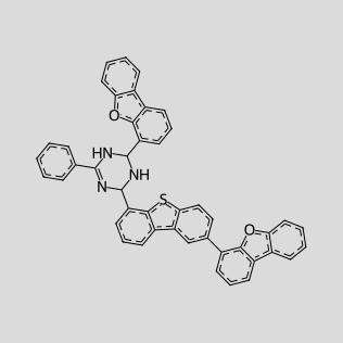 c1ccc(C2=NC(c3cccc4c3sc3ccc(-c5cccc6c5oc5ccccc56)cc34)NC(c3cccc4c3oc3ccccc34)N2)cc1